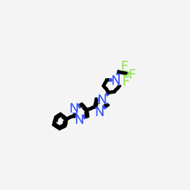 FC(F)(F)CN1CCC(n2cnc(-c3cnc(-c4ccccc4)nc3)c2)CC1